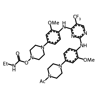 CCNC(=O)ON1CCN(c2ccc(Nc3nc(Nc4ccc(N5CCN(C(C)=O)CC5)cc4OC)ncc3C(F)(F)F)c(OC)c2)CC1